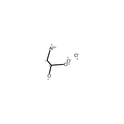 [Al+2][CH2]C(Cl)Cl.[Cl-].[Cl-]